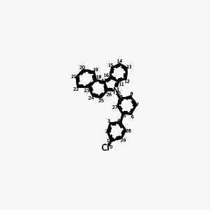 Clc1ccc(-c2cccc(-n3c4ccccc4c4c5ccccc5ccc43)c2)cc1